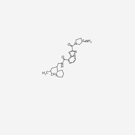 CC(C)CC(CNC(=O)c1cccn2nc(C(=O)N3CC[C@@H](N)C3)cc12)C1CCCCC1